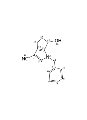 N#Cc1nn(Cc2ccccc2)c2c1CCC2O